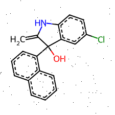 C=C1Nc2ccc(Cl)cc2C1(O)c1cccc2ccccc12